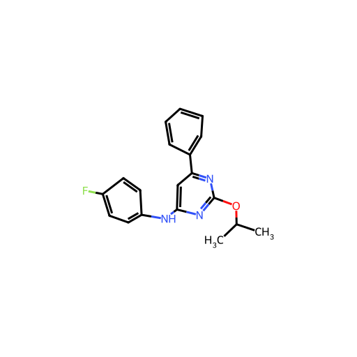 CC(C)Oc1nc(Nc2ccc(F)cc2)cc(-c2ccccc2)n1